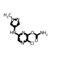 Cn1cc(Nc2cnc(Cl)c(OC(N)=O)n2)cn1